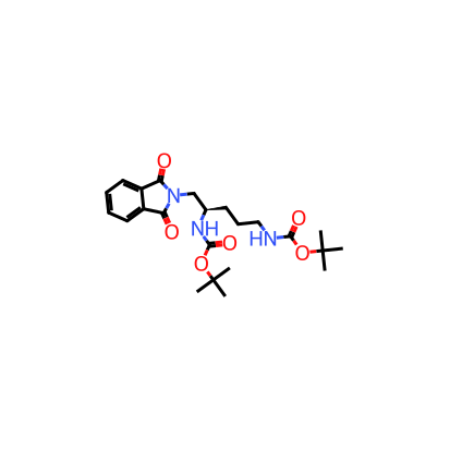 CC(C)(C)OC(=O)NCCC[C@H](CN1C(=O)c2ccccc2C1=O)NC(=O)OC(C)(C)C